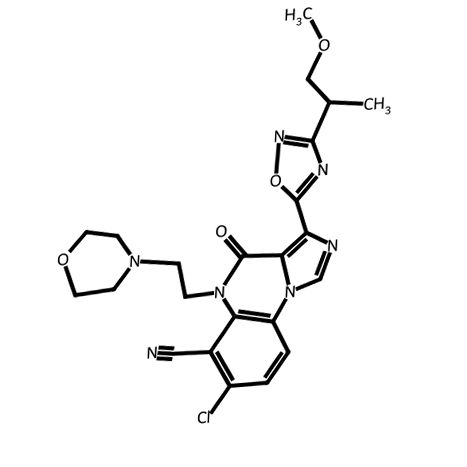 COCC(C)c1noc(-c2ncn3c2c(=O)n(CCN2CCOCC2)c2c(C#N)c(Cl)ccc23)n1